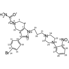 NC(=O)ON1CCc2c(c(-c3ccc(Br)cc3)nn2CCCN2CCN(c3ccccc3[N+](=O)[O-])CC2)C1